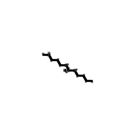 CCCCO[SiH2]OCCCOC